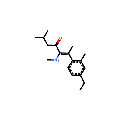 CCc1ccc(/C(C)=C(\NC)C(=O)CC(C)C)c(C)c1